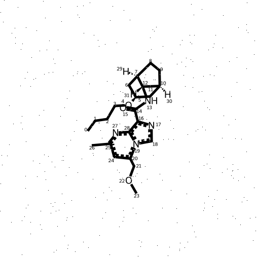 CCCCO[C@H]1C[C@H]2CC[C@@H](C1)[C@@H]2NC(=O)c1ncn2c(COC)cc(C)nc12